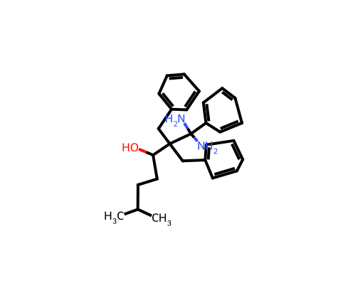 CC(C)CCC(O)C(Cc1ccccc1)(Cc1ccccc1)C(N)(N)c1ccccc1